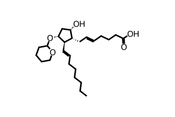 CCCCCCC=C[C@@H]1[C@@H](CC=CCCCC(=O)O)[C@@H](O)C[C@H]1OC1CCCCO1